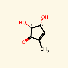 CC1=C[C@@H](O)[C@@H](O)C1=O